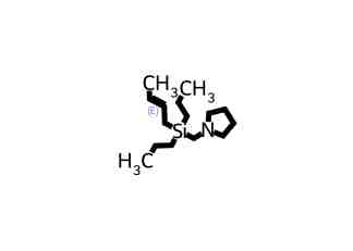 C/C=C/C[Si](CCC)(CCC)CN1CCCC1